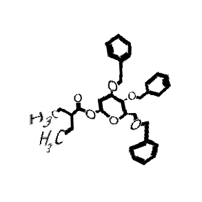 CCC(CC)C(=O)O[C@H]1C[C@@H](OCc2ccccc2)[C@H](OCc2ccccc2)[C@@H](COCc2ccccc2)O1